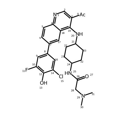 CC(=O)c1cnc2ccc(-c3cc(F)c(O)c(Cl)c3)cc2c1NC1CCC(NC(=O)CN(C)C)CC1